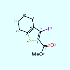 COC(=O)c1sc2c(c1I)CCCC2